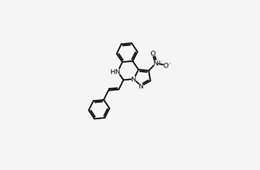 O=[N+]([O-])c1cnn2c1-c1ccccc1NC2/C=C/c1ccccc1